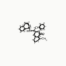 Cc1cccc2cc([C@H](C)Nc3ncnc4ccccc34)n(-c3ccccc3)c(=O)c12